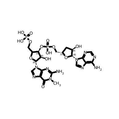 Cn1c(N)nc2c(ncn2[C@@H]2OC(COP(=O)(O)O)[C@@H](OP(=O)(O)OC[C@@H]3C[C@@H](O)[C@H](n4cnc5c(N)ncnc54)O3)[C@H]2O)c1=O